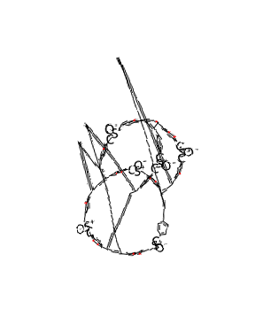 [O-][S+]1Cc2ccc(cc2)-c2cc3cc(c2)-c2ccc(cc2)C[S@+]([O-])Cc2ccc(cc2)-c2cc4cc(c2)-c2ccc(cc2)C[S+]([O-])Cc2ccc(cc2)-c2cc(cc(c2)-c2ccc(cc2)C[S@@+]([O-])Cc2ccc(cc2)-c2cc(cc(c2)-c2ccc(cc2)C[S+]([O-])Cc2ccc-4cc2)-c2ccc(cc2)C1)-c1ccc(cc1)C[S+]([O-])Cc1ccc-3cc1